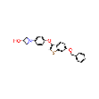 OC1CN(c2ccc(Oc3[c]sc4cc(OCc5ccccc5)ccc34)cc2)C1